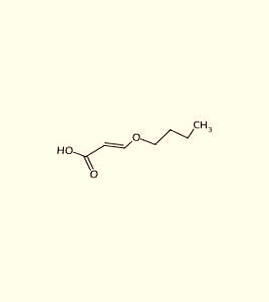 CCCCOC=CC(=O)O